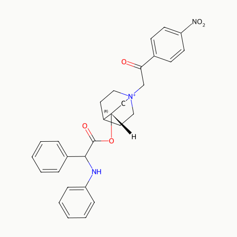 O=C(C[N+]12CCC(CC1)[C@@H](OC(=O)C(Nc1ccccc1)c1ccccc1)C2)c1ccc([N+](=O)[O-])cc1